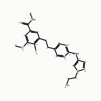 CNC(=O)c1cc(CCc2cnc(Nc3cnn(CCO)c3)nc2)c(F)c(OC)c1